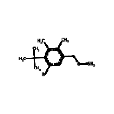 Cc1c(CO[SiH3])cc(Br)c(C(C)(C)C)c1C